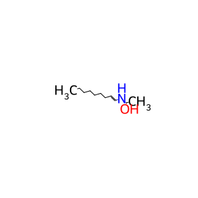 CCCCCCCC=CNC(C)O